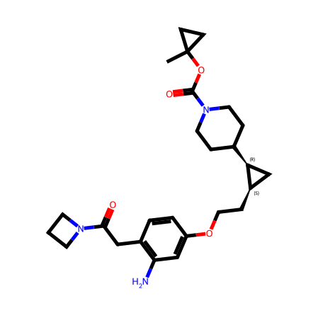 CC1(OC(=O)N2CCC([C@H]3C[C@H]3CCOc3ccc(CC(=O)N4CCC4)c(N)c3)CC2)CC1